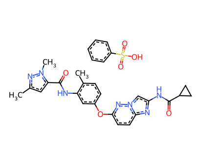 Cc1cc(C(=O)Nc2cc(Oc3ccc4nc(NC(=O)C5CC5)cn4n3)ccc2C)n(C)n1.O=S(=O)(O)c1ccccc1